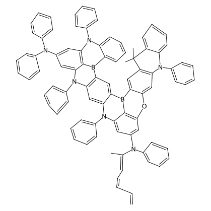 C=C/C=C\C=C(/C)N(c1ccccc1)c1cc2c3c(c1)N(c1ccccc1)c1cc4c(cc1B3c1cc3c(cc1O2)N(c1ccccc1)c1ccccc1C3(C)C)B1c2ccccc2N(c2ccccc2)c2cc(N(c3ccccc3)c3ccccc3)cc(c21)N4c1ccccc1